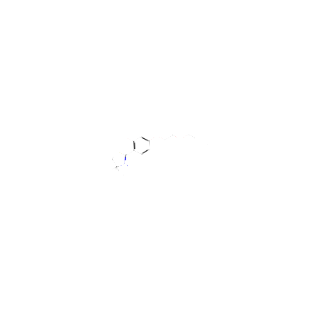 CCOC(=O)COCCOc1ccc(C2=N[C@@](C)(C(=O)OCC)CS2)c(O)c1